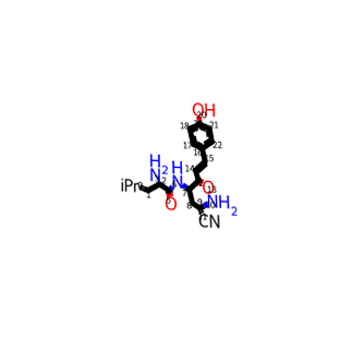 CC(C)C[C@H](N)C(=O)NC(CC(N)C#N)C(=O)/C=C/c1ccc(O)cc1